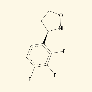 Fc1ccc([C@H]2CCON2)c(F)c1F